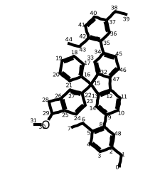 CCc1ccc(CC)c(-c2ccc3c(c2)C(c2ccccc2)(c2ccc4c(c2)CC4OC)c2cc(-c4cc(CC)ccc4CC)ccc2-3)c1